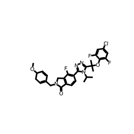 COC1C=CC(CN2Cc3c(ccc(-c4nnc(C(C)(C)Oc5c(F)cc(Cl)cc5F)n4C(C)C)c3F)C2=O)=CC1